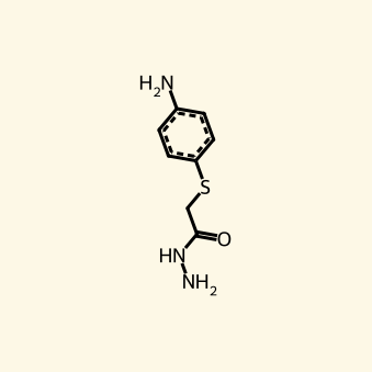 NNC(=O)CSc1ccc(N)cc1